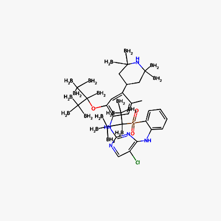 BC1(B)CC(c2cc(OC(B)(C(B)(B)B)C(B)(B)B)c(Nc3ncc(Cl)c(Nc4ccccc4S(=O)(=O)C(B)(C(B)(B)B)C(B)(B)B)n3)cc2C)CC(B)(B)N1